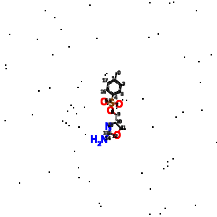 Cc1ccc(S(=O)(=O)OC[C@@H]2COC(N)=N2)cc1